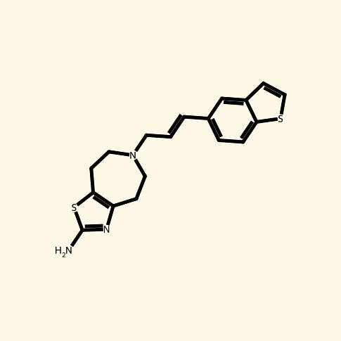 Nc1nc2c(s1)CCN(CC=Cc1ccc3sccc3c1)CC2